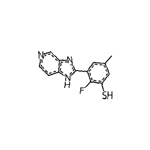 Cc1cc(S)c(F)c(-c2nc3cnccc3[nH]2)c1